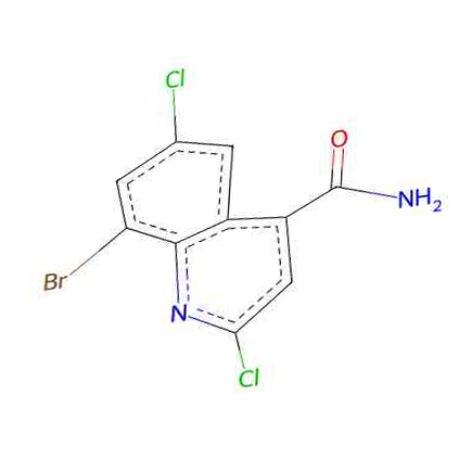 NC(=O)c1cc(Cl)nc2c(Br)cc(Cl)cc12